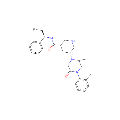 Cc1ccccc1N1CC(C)(C)N([C@H]2CNC[C@@H](C(=O)N[C@H](CC(C)C)c3ccccc3)C2)CC1=O